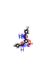 CC(=O)Oc1cc(C2NNC(c3ccc(C)cc3)O2)cc(C2NNC(c3ccc(C)cc3)O2)c1